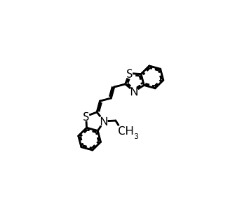 CCN1C(=CC=Cc2nc3ccccc3s2)Sc2ccccc21